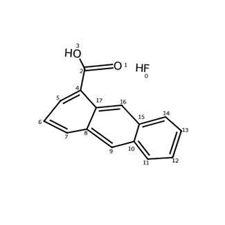 F.O=C(O)c1cccc2cc3ccccc3cc12